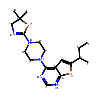 CCC(C)c1cc2c(N3CCN(C4=NCC(C)(C)S4)CC3)ncnc2s1